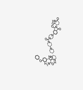 NC(=O)c1c(-c2ccc(Oc3ccccc3)cc2)nn2c1NCC[C@H]2C1CCN(C2CCN(C(=O)N3CCN(c4ccc5c(c4)C(=O)N(C4CCC(=O)NC4=O)C5=O)CC3)CC2)CC1